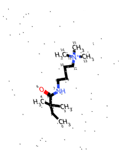 CCC(C)(C)C(=O)NCCCC[N+](C)(C)C